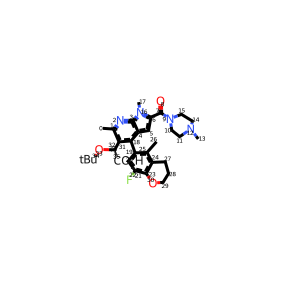 Cc1nc2c(cc(C(=O)N3CCN(C)CC3)n2C)c(-c2cc(F)c3c(c2C)CCCO3)c1[C@H](OC(C)(C)C)C(=O)O